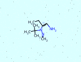 C=NN(/C(=C\N)CC)C(C)(C)C